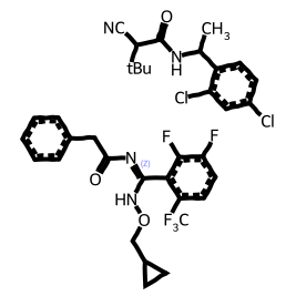 CC(NC(=O)C(C#N)C(C)(C)C)c1ccc(Cl)cc1Cl.O=C(Cc1ccccc1)/N=C(\NOCC1CC1)c1c(C(F)(F)F)ccc(F)c1F